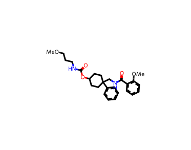 COCCCNC(=O)OC1CCC(CNC(=O)c2ccccc2OC)(c2ccccc2)CC1